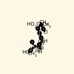 Cc1c(C(=O)O)c(-c2cccc(N3CCN(c4ccc(NS(=O)(=O)c5ccc(N[C@H](CCN6CCC(C)(O)CC6)CSc6ccccc6)c([SH](=O)=O)c5)cc4)CC3)c2)c(-c2ccc(Cl)cc2)n1C